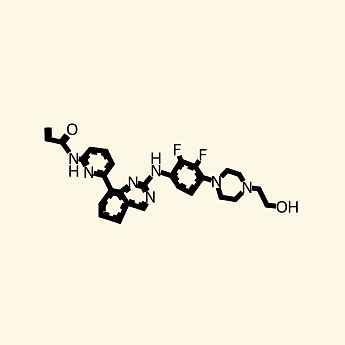 C=CC(=O)Nc1cccc(-c2cccc3cnc(Nc4ccc(N5CCN(CCO)CC5)c(F)c4F)nc23)n1